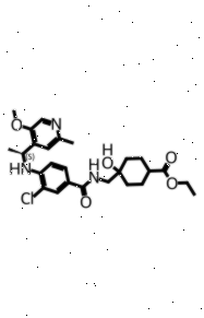 CCOC(=O)C1CCC(O)(CNC(=O)c2ccc(N[C@@H](C)c3cc(C)ncc3OC)c(Cl)c2)CC1